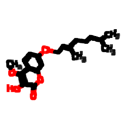 COc1c(O)c(=O)oc2cc(OC/C=C(\C)CCC=C(C)C)ccc12